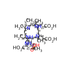 C=CC1=C(C)c2cc3[nH]c(cc4nc(cc5[nH]c(cc1n2)c(C)c5CCC(=O)O)C(CCC(=O)O)=C4C)c(C)c3C=C.CP(=O)(O)CCC(N)C(=O)O